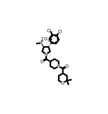 CN(C(=O)O)[C@@H]1CN(C(=O)C2CCN(C(=O)C3CCOC(C)(C)C3)CC2)C[C@H]1c1ccc(Cl)c(Cl)c1